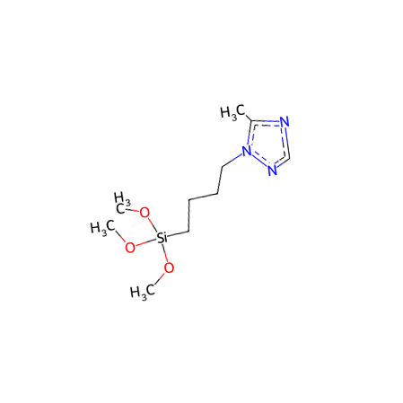 CO[Si](CCCCn1ncnc1C)(OC)OC